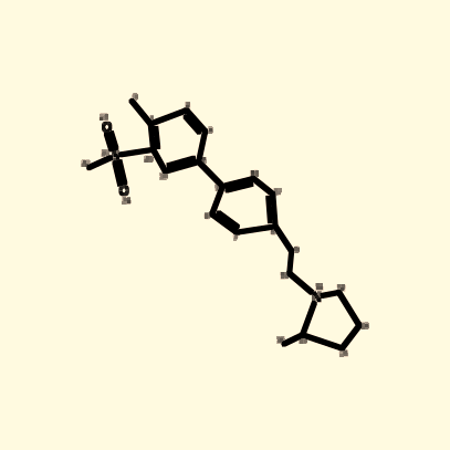 Cc1ccc(-c2ccc(CCN3CCCC3C)cc2)cc1S(C)(=O)=O